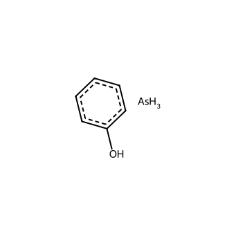 Oc1ccccc1.[AsH3]